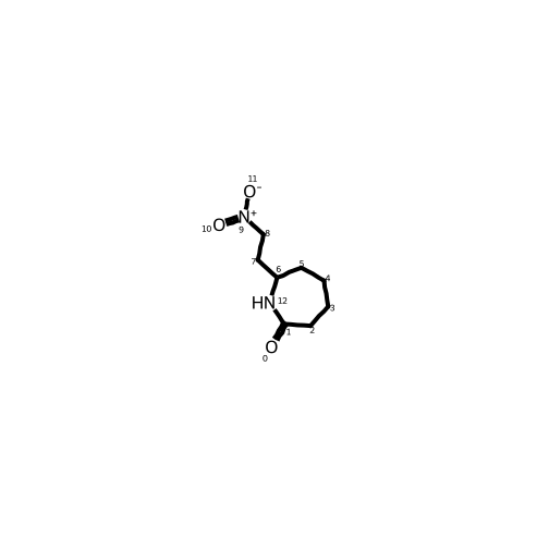 O=C1CCCCC(CC[N+](=O)[O-])N1